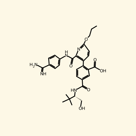 CCCOc1ccc(-c2ccc(C(=O)N[C@H](CO)C(C)(C)C)cc2C(=O)O)c(C(=O)Nc2ccc(C(=N)N)cc2)n1